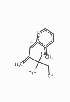 C=C(/C=c1/ncccc1=C)C(C)(C)CC